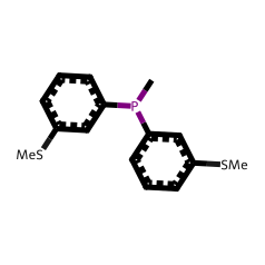 CSc1cccc(P(C)c2cccc(SC)c2)c1